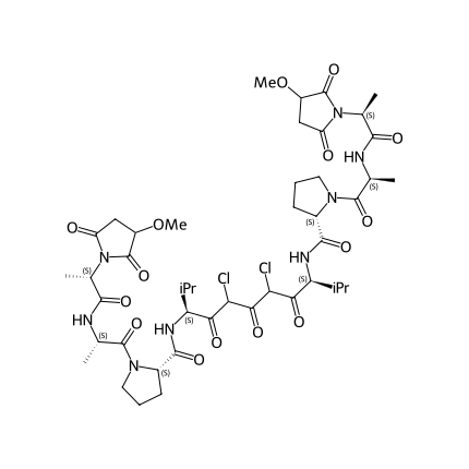 COC1CC(=O)N([C@@H](C)C(=O)N[C@@H](C)C(=O)N2CCC[C@H]2C(=O)N[C@H](C(=O)C(Cl)C(=O)C(Cl)C(=O)[C@@H](NC(=O)[C@@H]2CCCN2C(=O)[C@H](C)NC(=O)[C@H](C)N2C(=O)CC(OC)C2=O)C(C)C)C(C)C)C1=O